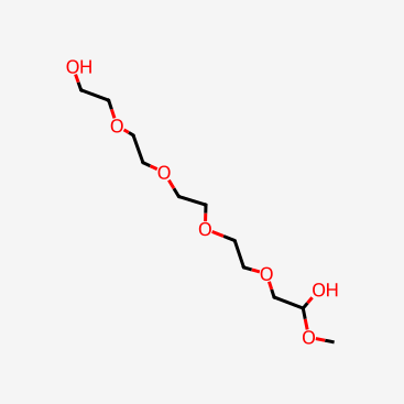 COC(O)COCCOCCOCCOCCO